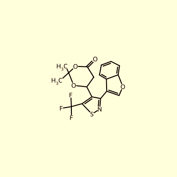 CC1(C)OC(=O)CC(c2c(-c3coc4ccccc34)nsc2C(F)(F)F)O1